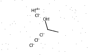 CCO.[Cl-].[Cl-].[Cl-].[Cl-].[Hf+4]